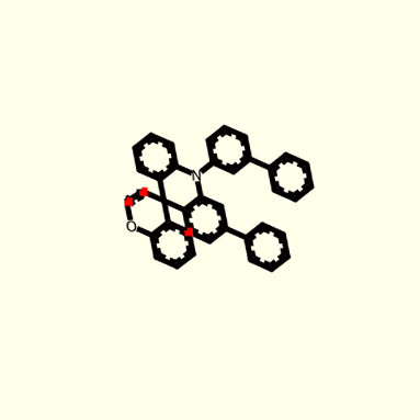 c1ccc(-c2cccc(N3c4ccccc4C4(c5ccccc5Oc5ccccc54)c4ccc(-c5ccccc5)cc43)c2)cc1